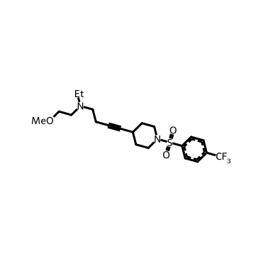 CCN(CCC#CC1CCN(S(=O)(=O)c2ccc(C(F)(F)F)cc2)CC1)CCOC